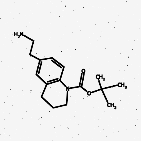 CC(C)(C)OC(=O)N1CCCc2cc(CCN)ccc21